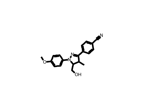 COc1ccc(N2N=C(c3ccc(C#N)cc3)C(C)C2CO)cc1